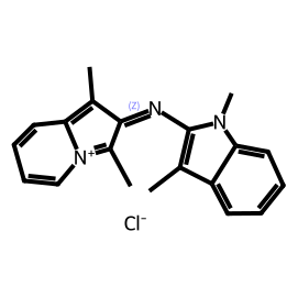 CC1=c2cccc[n+]2=C(C)/C1=N\c1c(C)c2ccccc2n1C.[Cl-]